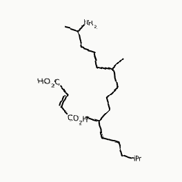 CC(C)CCCC(C)CCCC(C)CCCC(C)N.O=C(O)/C=C/C(=O)O